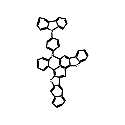 c1ccc(N(c2ccc(-n3c4ccccc4c4ccccc43)cc2)c2ccc3oc4ccccc4c3c2)c(-c2cccc3c2oc2cc4ccccc4cc23)c1